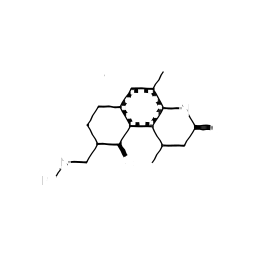 CCCCNCC1CCc2cc(C)c3c(c2C1=O)C(C)CC(=O)N3.Cl